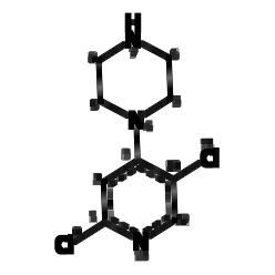 Clc1cc(N2CCNCC2)c(Cl)cn1